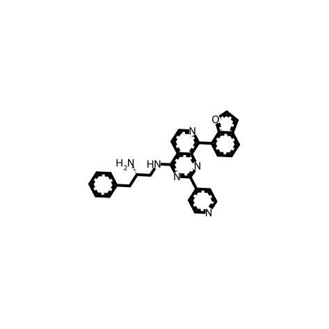 N[C@H](CNc1nc(-c2ccncc2)nc2c(-c3cccc4ccoc34)nccc12)Cc1ccccc1